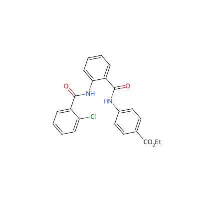 CCOC(=O)c1ccc(NC(=O)c2ccccc2NC(=O)c2ccccc2Cl)cc1